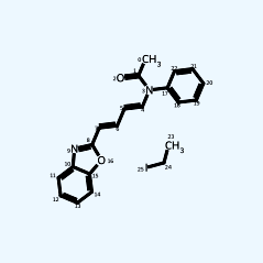 CC(=O)N(C=CC=Cc1nc2ccccc2o1)c1ccccc1.CCI